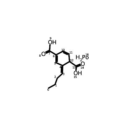 CCCC=C1C=C(C(=O)O)C=CC1C(=O)O.[PoH2]